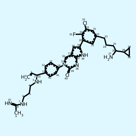 C=C[C@H](NCCCNC(C)=N)c1ccc(-n2cc3cc(-c4cc(CCCC(N)C5CC5)cc(Cl)c4F)[nH]c3nc2=O)cc1